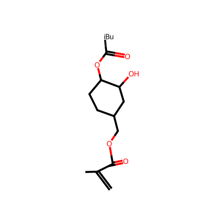 C=C(C)C(=O)OCC1CCC(OC(=O)C(C)CC)C(O)C1